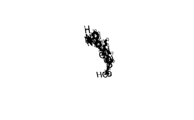 CCCCc1nc(C)n(-c2ncc(OCCCC(=O)O)cn2)c(=O)c1Cc1ccc(-c2ccccc2-c2nnn[nH]2)cc1